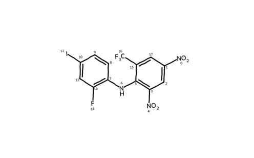 O=[N+]([O-])c1cc([N+](=O)[O-])c(Nc2ccc(I)cc2F)c(C(F)(F)F)c1